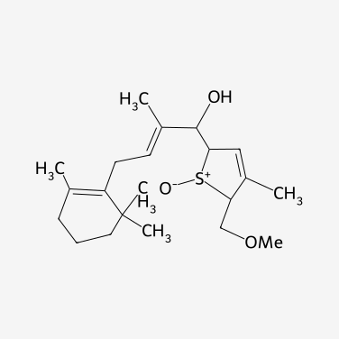 COCC1C(C)=CC(C(O)/C(C)=C/CC2=C(C)CCCC2(C)C)[S+]1[O-]